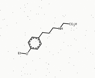 CCOc1ccc(CCCNCC(=O)O)cc1